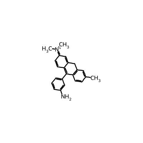 Cc1ccc2c(c1)CC1=CC(=[N+](C)C)C=CC1=C2c1cccc(N)c1